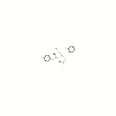 CC(C)N1CC2N(C(=O)C(NS(C)(=O)=O)CN2S(=O)(=O)c2ccc(Cl)cc2Cl)C(Cc2ccc(Br)cc2)C1=O